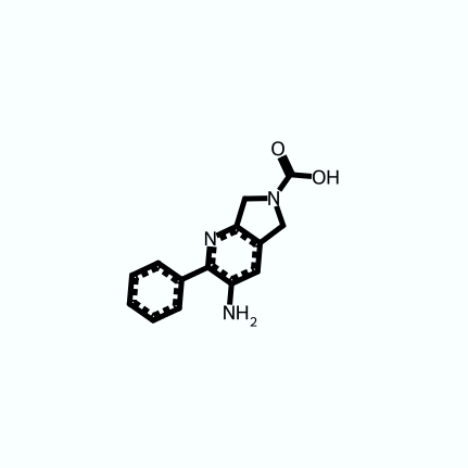 Nc1cc2c(nc1-c1ccccc1)CN(C(=O)O)C2